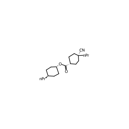 CCC[C@H]1CC[C@H](OC(=O)[C@H]2CC[C@](C#N)(CCC)CC2)CC1